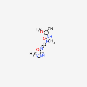 CN(C(=O)Nc1cc(C#N)cc(OC(F)(F)F)c1)C1CC2(C1)CN(C(=O)c1cnn3ccn(C)c13)C2